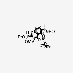 CCOC(=O)C(C)N(OC)C(=O)c1nccc(NC=O)c1OCOC(=O)C(C)C